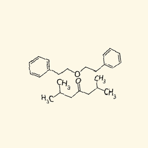 CC(C)CC(=O)CC(C)C.c1ccc(CCOCCc2ccccc2)cc1